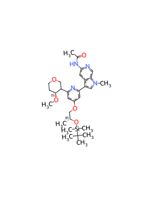 CO[C@H]1CCOCC1c1cc(OC[C@@H](C)O[Si](C)(C)C(C)(C)C)cc(-c2cn(C)c3cnc(NC(C)=O)cc23)n1